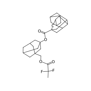 CC(F)(F)C(=O)OCC12CC3CC(C1)CC(OC(=O)C14CC5C6CC7CC58CC(C7)(C6C1)C8C4)(C3)C2